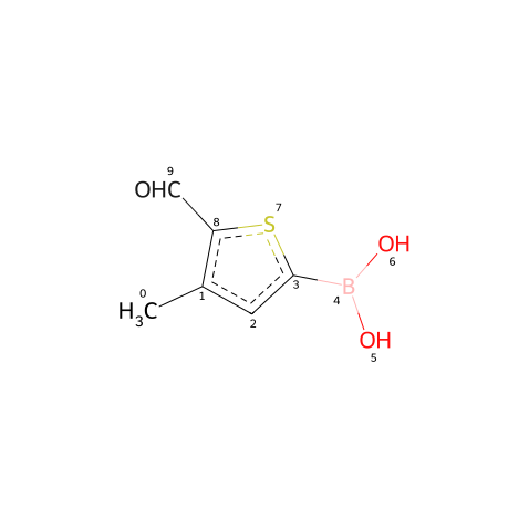 Cc1cc(B(O)O)sc1C=O